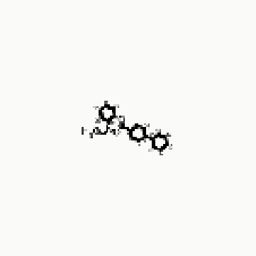 CCN(OC(=O)c1ccc(-c2ccccc2)cc1)c1ccccc1